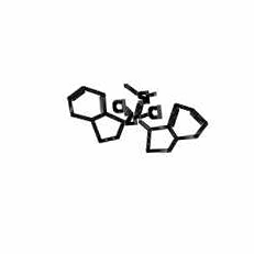 C[Si](C)=[Zr]([Cl])([Cl])([CH]1CCC2CC=CC=C21)[CH]1CCC2CC=CC=C21